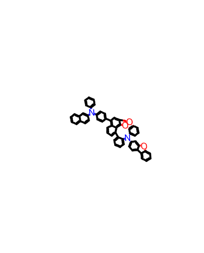 c1ccc(N(c2ccc(-c3cc4c5c6c(cccc36)-c3ccccc3N(c3ccc6c(c3)oc3ccccc36)c3cccc(c3O5)O4)cc2)c2ccc3ccccc3c2)cc1